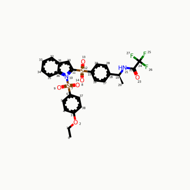 CCOc1ccc(S(=O)(=O)n2c(S(=O)(=O)c3ccc([C@H](C)NC(=O)C(F)(F)F)cc3)cc3ccccc32)cc1